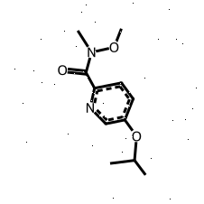 CON(C)C(=O)c1ccc(OC(C)C)cn1